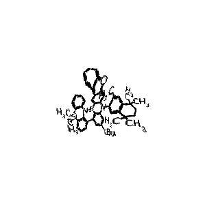 Cc1cc2c(cc1N1c3cc4oc5ccccc5c4cc3B3c4c(cc(C(C)(C)C)cc41)-c1cccc4c1N3c1ccccc1[Si]4(C)C)C(C)(C)CCC2(C)C